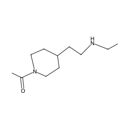 CCNCCC1CCN(C(C)=O)CC1